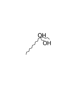 CCCCCCCCCCC(O)(CCO)CCCC